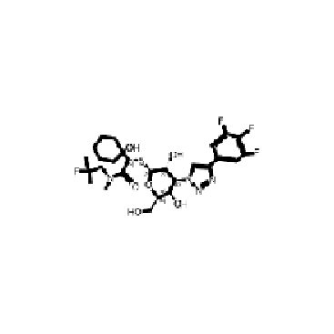 CN(CC(C)(C)F)C(=O)[C@@H](S[C@@H]1O[C@H](CO)[C@H](O)[C@H](n2cc(-c3cc(F)c(F)c(F)c3)nn2)[C@H]1O)C1(O)CCCCC1